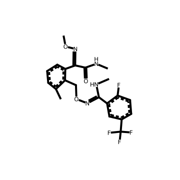 CNC(=O)/C(=N/OC)c1cccc(C)c1CO/N=C(\NC)c1cc(C(F)(F)F)ccc1F